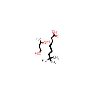 CC(C)(C)CCCCCC(=O)O.CC(O)CCO